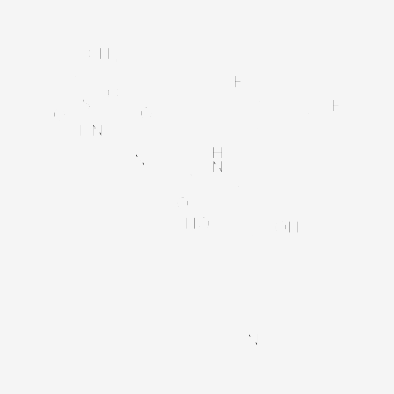 CCS(=O)(=O)Nc1nc(C(=O)NC(Cc2cc(F)cc(F)c2)C(O)C(O)CCC#N)co1